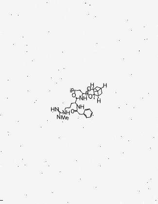 CNC(=N)NCCC[C@H](NC(=O)[C@@H](C)c1ccccc1)C(=O)N[C@@H](CC(C)C)B1O[C@@H]2C[C@@H]3C[C@@H](C3(C)C)[C@]2(C)O1